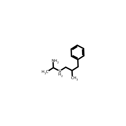 CC(C[SiH2]C(C)N)Cc1ccccc1